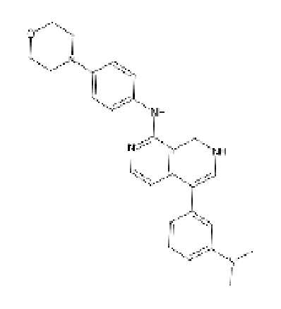 CN(C)c1cccc(C2=CNCc3c2ccnc3Nc2ccc(N3CCOCC3)cc2)c1